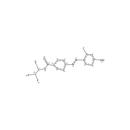 Cc1cc(O)ccc1N=Nc1ccc(C(=O)OC(F)C(F)F)cc1